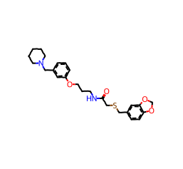 O=C(CSCc1ccc2c(c1)OCO2)NCCCOc1cccc(CN2CCCCC2)c1